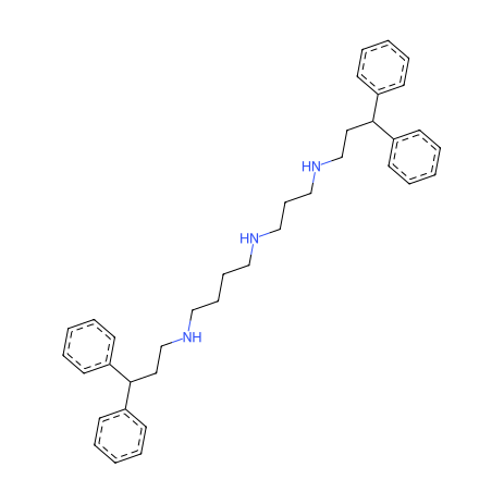 c1ccc(C(CCNCCCCNCCCNCCC(c2ccccc2)c2ccccc2)c2ccccc2)cc1